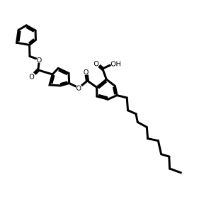 CCCCCCCCCCCc1ccc(C(=O)Oc2ccc(C(=O)OCc3ccccc3)cc2)c(C(=O)O)c1